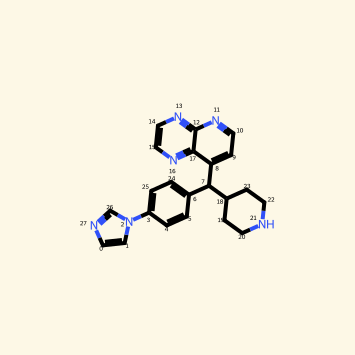 c1cn(-c2ccc(C(c3ccnc4nccnc34)C3CCNCC3)cc2)cn1